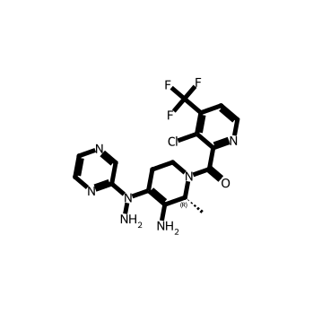 C[C@@H]1C(N)=C(N(N)c2cnccn2)CCN1C(=O)c1nccc(C(F)(F)F)c1Cl